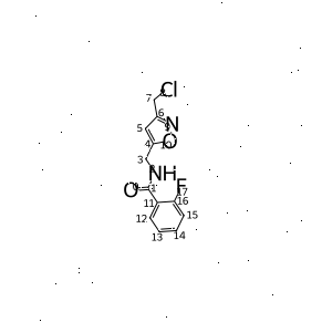 O=C(NCc1cc(CCl)no1)c1ccccc1F